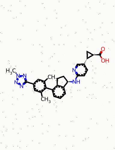 Cc1cc(-c2nnn(C)n2)cc(C)c1-c1cccc2c1CC[C@H]2Nc1ccc([C@@H]2C[C@H]2C(=O)O)cn1